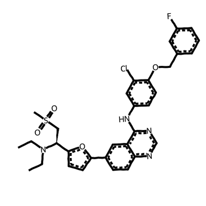 CCN(CC)[C@@H](CS(C)(=O)=O)c1ccc(-c2ccc3ncnc(Nc4ccc(OCc5cccc(F)c5)c(Cl)c4)c3c2)o1